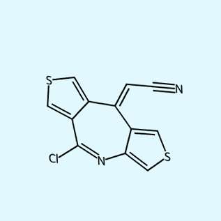 N#CC=C1c2cscc2N=C(Cl)c2cscc21